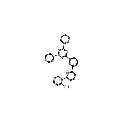 Oc1ccccc1-c1cccc(-c2cccc(-c3nc(-c4ccccc4)nc(-c4ccccc4)n3)c2)n1